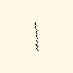 C=CC=CCCCCCCCCC=CC